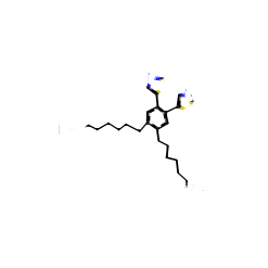 CCCCCCCCCCCCCCCCc1cc(-c2cncs2)c(-c2cncs2)cc1CCCCCCCCCCCCCCCC